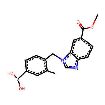 COC(=O)c1ccc2ncn(Cc3ccc(B(O)O)cc3C)c2c1